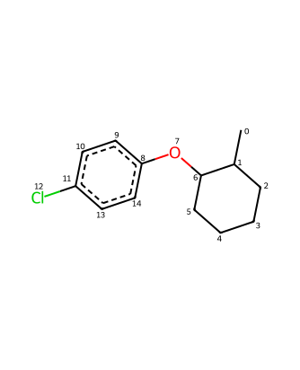 CC1CCCCC1Oc1ccc(Cl)cc1